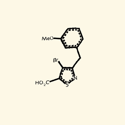 COc1cccc(Cc2nsc(C(=O)O)c2Br)c1